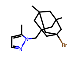 Cc1ccnn1CC12CC3(C)CC(C)(CC(Br)(C3)C1)C2